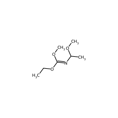 CCOC(=NC(C)OC)OC